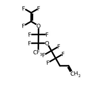 C=CCC(F)(F)C(F)(F)OC(F)(C(F)(F)F)C(F)(F)OC(F)=C(F)F